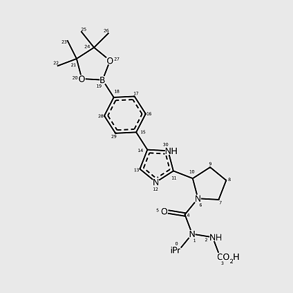 CC(C)N(NC(=O)O)C(=O)N1CCCC1c1ncc(-c2ccc(B3OC(C)(C)C(C)(C)O3)cc2)[nH]1